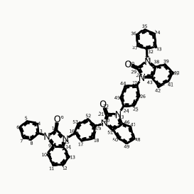 O=c1n(-c2ccccc2)c2ccccc2n1-c1ccc(-n2c(=O)n(-c3ccc(-n4c(=O)n(-c5ccccc5)c5ccccc54)cc3)c3ccccc32)cc1